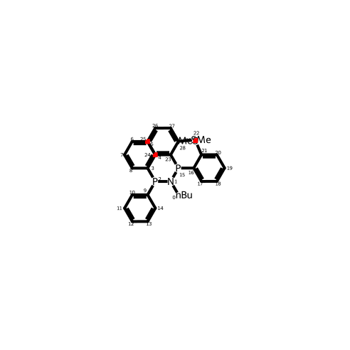 CCCCN(P(c1ccccc1)c1ccccc1)P(c1ccccc1SC)c1ccccc1SC